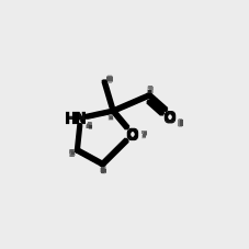 CC1(C=O)NCCO1